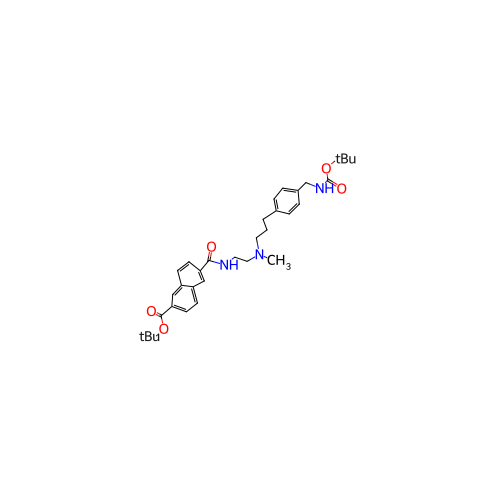 CN(CCCc1ccc(CNC(=O)OC(C)(C)C)cc1)CCNC(=O)c1ccc2cc(C(=O)OC(C)(C)C)ccc2c1